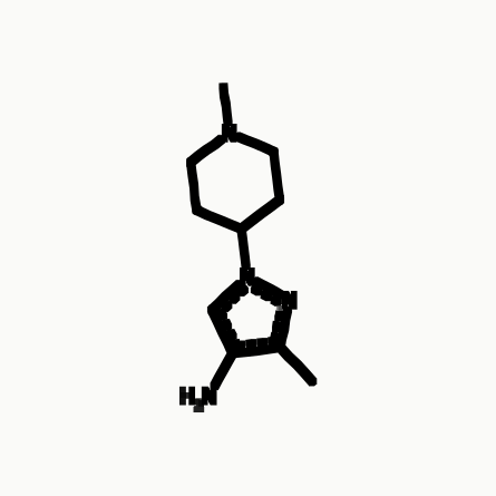 Cc1nn(C2CCN(C)CC2)cc1N